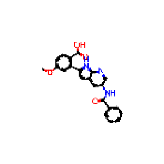 COc1ccc(C(=O)O)c(-c2cc3cc(NC(=O)c4ccccc4)cnc3[nH]2)c1